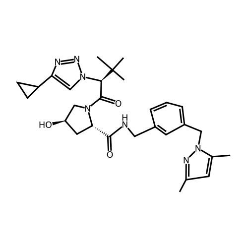 Cc1cc(C)n(Cc2cccc(CNC(=O)[C@@H]3C[C@@H](O)CN3C(=O)[C@@H](n3cc(C4CC4)nn3)C(C)(C)C)c2)n1